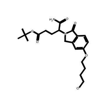 CC(C)(C)OC(=O)CCC(C(N)=O)N1Cc2cc(OCCCCCl)ccc2C1=O